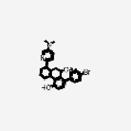 CC(=O)OC1Cc2c(-c3ccc(N(C)C)cn3)cccc2-c2c(O)ccc(-c3ccc(Br)cc3)c21